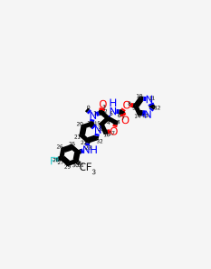 CN(C(=O)[C@]1(NC(=O)Oc2cncnc2)CCOC1)c1ccc(Nc2ccc(F)cc2C(F)(F)F)cn1